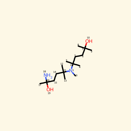 CN(C(C)(C)CCC(C)(C)O)C(C)(C)CCC(C)(N)O